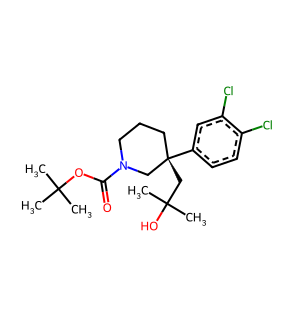 CC(C)(O)C[C@]1(c2ccc(Cl)c(Cl)c2)CCCN(C(=O)OC(C)(C)C)C1